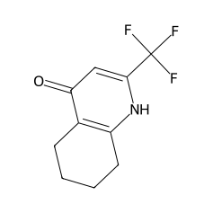 O=c1cc(C(F)(F)F)[nH]c2c1CCCC2